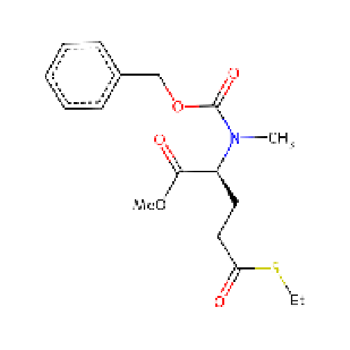 CCSC(=O)CC[C@@H](C(=O)OC)N(C)C(=O)OCc1ccccc1